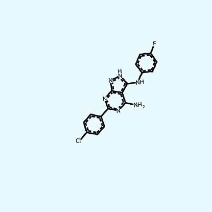 Nc1nc(-c2ccc(Cl)cc2)nc2n[nH]c(Nc3ccc(F)cc3)c12